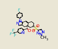 Cn1ncc(S(=O)(=O)[C@H]2CCC3=Cc4c(cnn4-c4ccc(F)cc4)C[C@]3(C(=O)c3ccc(C(F)(F)F)cn3)C2)n1